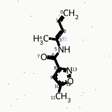 C=C/C=C(\C)NC(=O)c1cc(C)on1